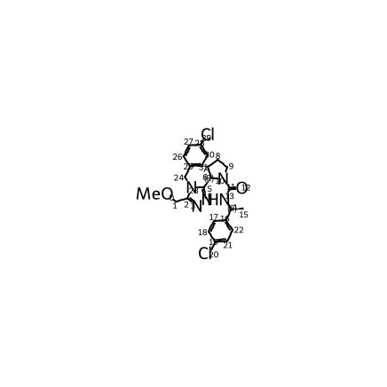 COCc1nnc([C@H]2CCCN2C(=O)N[C@@H](C)c2ccc(Cl)cc2)n1Cc1ccc(Cl)cc1